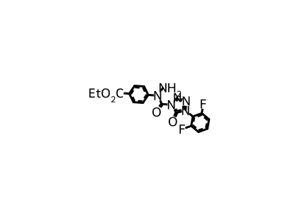 CCOC(=O)c1ccc(N(N)C(=O)n2nnn(-c3c(F)cccc3F)c2=O)cc1